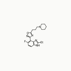 CCc1nc2c(-c3noc(CCCN4CCCCC4)n3)c(F)ccc2[nH]1